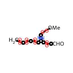 C=CC(=O)Oc1ccc(OC(=O)c2ccc(C(=O)Oc3ccc4c5ccc(OC(=O)c6ccc(C=O)cc6)cc5c5nc6cc(OCCOCCOC)ccc6nc5c4c3)cc2)cc1